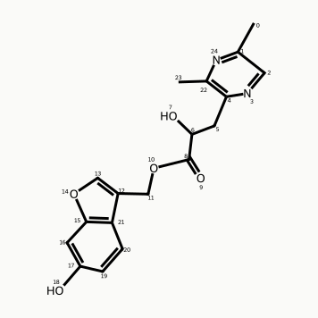 Cc1cnc(CC(O)C(=O)OCc2coc3cc(O)ccc23)c(C)n1